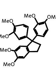 COc1ccc(C2(c3ccc(OC)c(OC)c3)CCc3cc(OC)c(OC)cc32)cc1OC